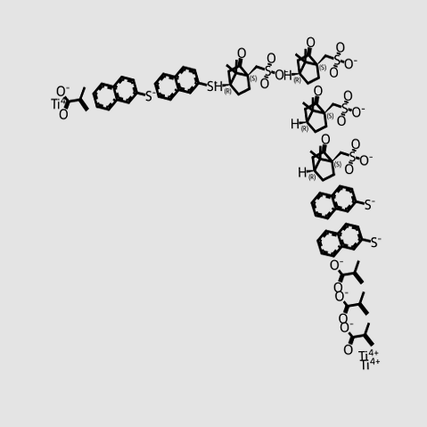 C=C(C)C(=O)[O-].C=C(C)C(=O)[O-].C=C(C)C(=O)[O-].C=C(C)C(=O)[O-].CC1(C)[C@@H]2CC[C@@]1(CS(=O)(=O)[O-])C(=O)C2.CC1(C)[C@@H]2CC[C@@]1(CS(=O)(=O)[O-])C(=O)C2.CC1(C)[C@@H]2CC[C@@]1(CS(=O)(=O)[O-])C(=O)C2.CC1(C)[C@@H]2CC[C@@]1(CS(=O)(=O)[O-])C(=O)C2.[S-]c1ccc2ccccc2c1.[S-]c1ccc2ccccc2c1.[S-]c1ccc2ccccc2c1.[S-]c1ccc2ccccc2c1.[Ti+4].[Ti+4].[Ti+4]